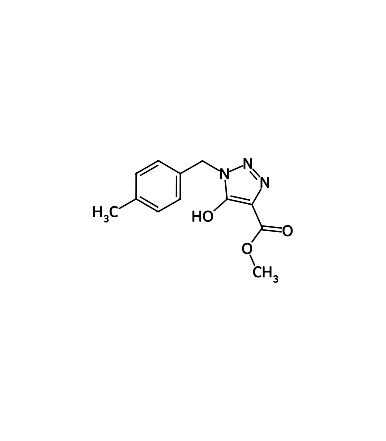 COC(=O)c1nnn(Cc2ccc(C)cc2)c1O